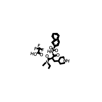 CCN(CC)C(=O)C(CC1CCNCC1)C(=O)NS(=O)(=O)c1ccc2ccccc2c1.O=C(O)C(F)(F)F